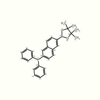 CC1(C)OB(c2ccc3cc(P(c4ccccc4)c4ccccc4)ccc3c2)OC1(C)C